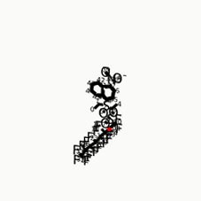 CCS(CC)(OS(=O)(=O)C(F)(F)C(F)(F)C(F)(F)C(F)(F)C(F)(F)C(F)(F)C(F)(F)C(F)(F)F)c1ccc([N+](=O)[O-])c2ccccc12